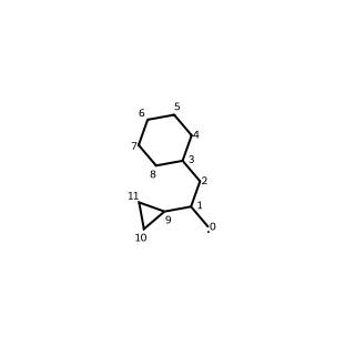 [CH2]C(CC1CCCCC1)C1CC1